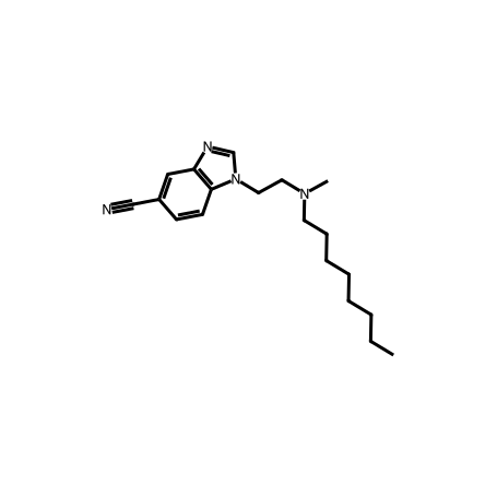 CCCCCCCCN(C)CCn1cnc2cc(C#N)ccc21